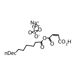 CCCCCCCCCCCCCCCC(=O)OC(=O)/C=C\C(=O)O.CCCS(=O)(=O)[O-].[Na+]